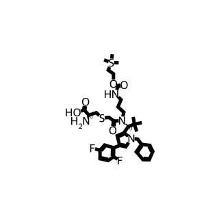 CC(C)(C)[C@H](c1cc(-c2cc(F)ccc2F)cn1Cc1ccccc1)N(CCCNC(=O)OCCS(C)(C)C)C(=O)CSC[C@H](N)C(=O)O